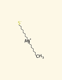 CCCCCCCCCCCCCCCCCC[S-].[Ag+]